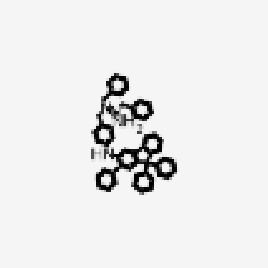 NN(Cc1ccccc1)N(Cc1ccccc1)Cc1ccc(Nc2cc3c(cc2-c2ccccc2)C(c2ccccc2)(c2ccccc2)c2ccccc2-3)cc1